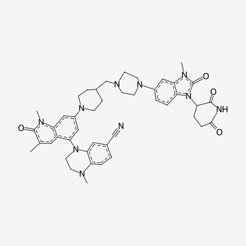 Cc1cc2c(N3CCN(C)c4ccc(C#N)cc43)cc(N3CCC(CN4CCN(c5ccc6c(c5)n(C)c(=O)n6C5CCC(=O)NC5=O)CC4)CC3)cc2n(C)c1=O